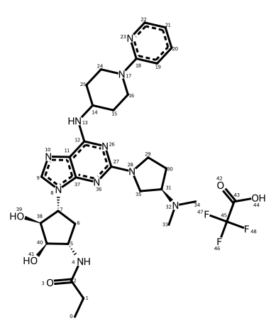 CCC(=O)N[C@H]1C[C@@H](n2cnc3c(NC4CCN(c5ccccn5)CC4)nc(N4CC[C@@H](N(C)C)C4)nc32)[C@H](O)[C@@H]1O.O=C(O)C(F)(F)F